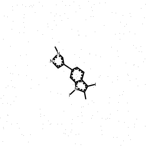 Cc1c(I)c2ccc(-c3cnn(C)c3)cc2n1I